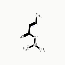 C/C=C/C(=O)ON(C)C